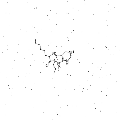 CCCCCCC1N=C2C3=C(NCNC3)[N+](=O)[N+]2(CCC)C1=O